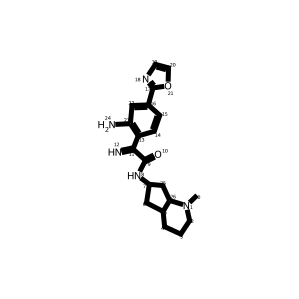 CN1CCCC2CC(NC(=O)C(=N)c3ccc(-c4ncco4)cc3N)CC21